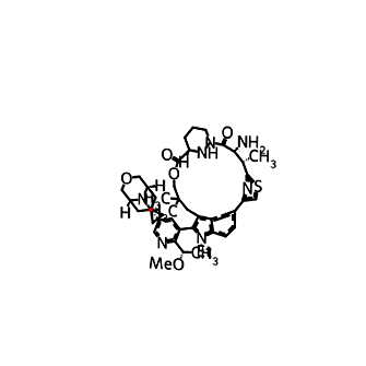 CCn1c(-c2cc([C@H]3C[C@H]4COC[C@@H](C3)N4C3CC3)cnc2[C@H](C)OC)c2c3cc(ccc31)-c1csc(n1)[C@@H](C)[C@H](N)C(=O)N1CCC[C@H](N1)C(=O)OCC(C)(C)C2